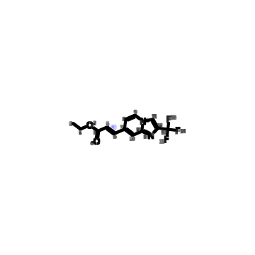 CCOC(=O)/C=C/c1ccn2cc(C(F)(F)F)nc2c1